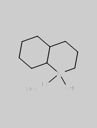 CC[N+]1(C)CCCC2CCCCC21.[OH-]